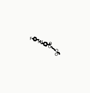 C=CC(=O)OCCCCOC(=O)c1ccc(/C=N/N=C/c2ccc(F)cc2)cc1